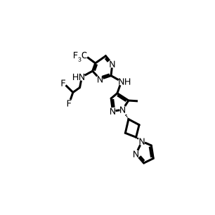 Cc1c(Nc2ncc(C(F)(F)F)c(NCC(F)F)n2)cnn1[C@H]1C[C@@H](n2cccn2)C1